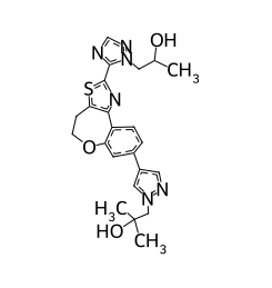 CC(O)Cn1ncnc1-c1nc2c(s1)CCOc1cc(-c3cnn(CC(C)(C)O)c3)ccc1-2